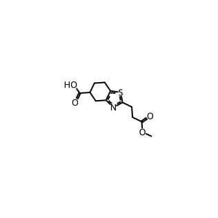 COC(=O)CCc1nc2c(s1)CCC(C(=O)O)C2